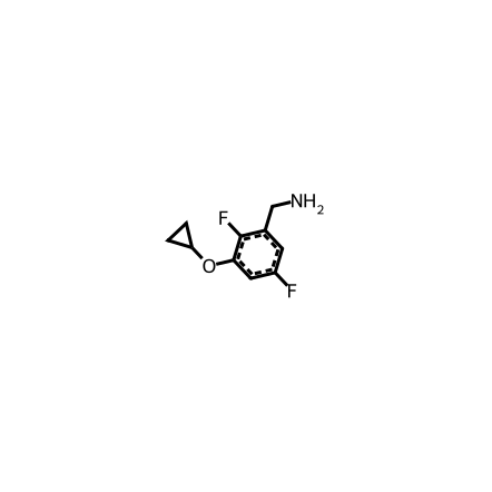 NCc1cc(F)cc(OC2CC2)c1F